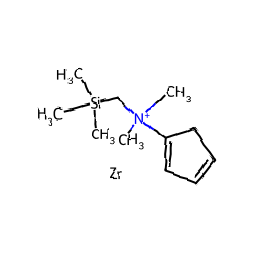 C[N+](C)(C[Si](C)(C)C)C1=CC=CC1.[Zr]